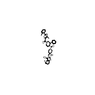 Cc1ccccc1-c1nc(C)c(C(=O)N2CC[C@@H](C(=O)N3CCC(O)(Cn4cnc5cccnc5c4=O)CC3)[C@H](c3ccccc3)C2)s1